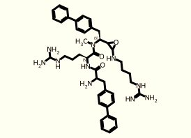 CN(C(=O)[C@H](CCCNC(N)N)NC(=O)C(N)Cc1ccc(-c2ccccc2)cc1)[C@@H](Cc1ccc(-c2ccccc2)cc1)C1OC1NCCCCNC(=N)N